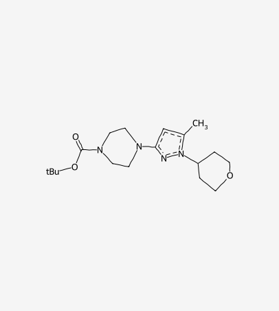 Cc1cc(N2CCN(C(=O)OC(C)(C)C)CC2)nn1C1CCOCC1